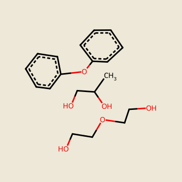 CC(O)CO.OCCOCCO.c1ccc(Oc2ccccc2)cc1